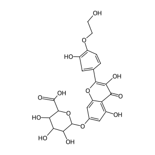 O=C(O)C1OC(Oc2cc(O)c3c(=O)c(O)c(-c4ccc(OCCO)c(O)c4)oc3c2)C(O)C(O)C1O